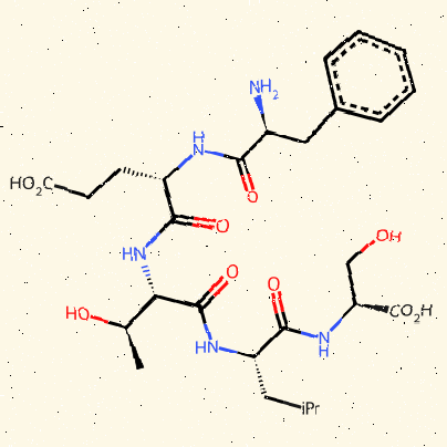 CC(C)C[C@H](NC(=O)[C@@H](NC(=O)[C@H](CCC(=O)O)NC(=O)[C@@H](N)Cc1ccccc1)[C@@H](C)O)C(=O)N[C@@H](CO)C(=O)O